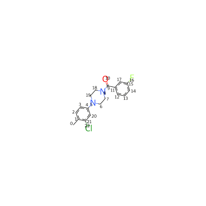 Cc1ccc(N2CCN(C(=O)c3cccc(F)c3)CC2)cc1Cl